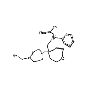 CCC(=O)N(CC1(N2CCN(CC(C)C)CC2)CCOCC1)c1ccccc1